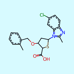 Cc1ccccc1COC1CC(n2c(C)nc3ccc(Cl)cc32)SC1C(=O)O